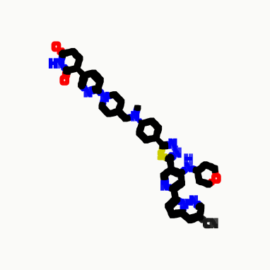 CN(CC1CCN(c2ccc([C@@H]3CCC(=O)NC3=O)cn2)CC1)[C@H]1CC[C@H](c2nnc(-c3cnc(-c4ccc5cc(C#N)cnn45)cc3NC3CCOCC3)s2)CC1